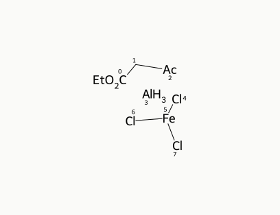 CCOC(=O)CC(C)=O.[AlH3].[Cl][Fe]([Cl])[Cl]